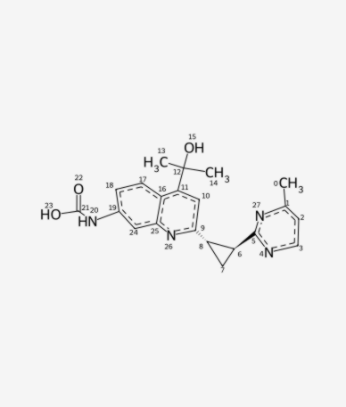 Cc1ccnc([C@H]2C[C@@H]2c2cc(C(C)(C)O)c3ccc(NC(=O)O)cc3n2)n1